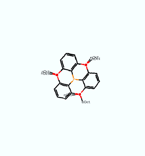 CCCCCCCCOc1cccc(OCCCCCCCC)c1P(c1c(OCCCCCCCC)cccc1OCCCCCCCC)c1c(OCCCCCCCC)cccc1OCCCCCCCC